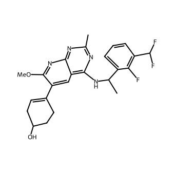 COc1nc2nc(C)nc(NC(C)c3cccc(C(F)F)c3F)c2cc1C1=CCC(O)CC1